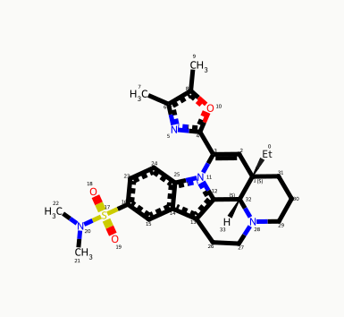 CC[C@@]12C=C(c3nc(C)c(C)o3)n3c4c(c5cc(S(=O)(=O)N(C)C)ccc53)CCN(CCC1)[C@H]42